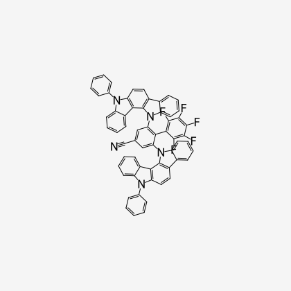 N#Cc1cc(-n2c3ccccc3c3ccc4c(c5ccccc5n4-c4ccccc4)c32)c(-c2c(F)c(F)c(F)c(F)c2F)c(-n2c3ccccc3c3ccc4c(c5ccccc5n4-c4ccccc4)c32)c1